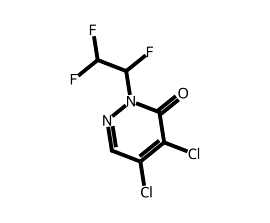 O=c1c(Cl)c(Cl)cnn1C(F)C(F)F